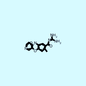 Cc1cc(Oc2cccnc2)c([N+](=O)[O-])cc1C(=O)N=C(N)N